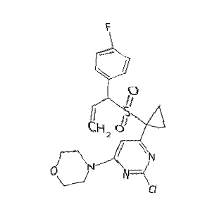 C=CC(c1ccc(F)cc1)S(=O)(=O)C1(c2cc(N3CCOCC3)nc(Cl)n2)CC1